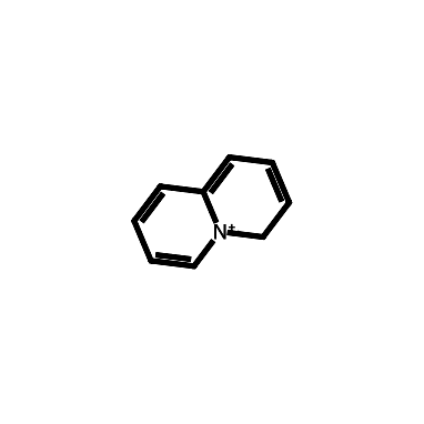 C1=CC[N+]2C=CC=CC2=C1